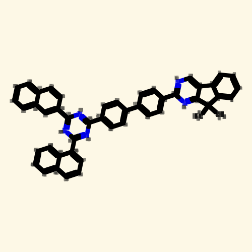 CC1(C)c2ccccc2-c2cnc(-c3ccc(-c4ccc(-c5nc(-c6ccc7ccccc7c6)nc(-c6cccc7ccccc67)n5)cc4)cc3)nc21